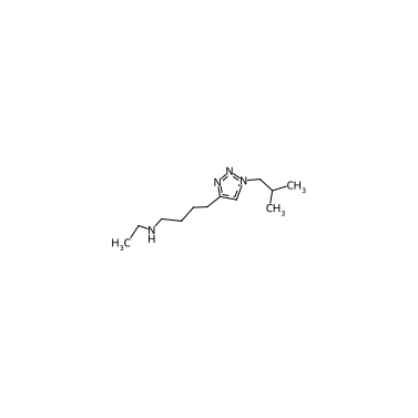 CCNCCCCc1cn(CC(C)C)nn1